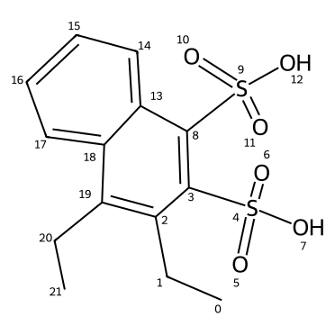 CCc1c(S(=O)(=O)O)c(S(=O)(=O)O)c2ccccc2c1CC